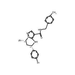 CCc1ccc([C@@H]2C[C@H](C(C)C)n3ncc(C(=O)NCc4ccc(C)cc4)c3N2)cc1